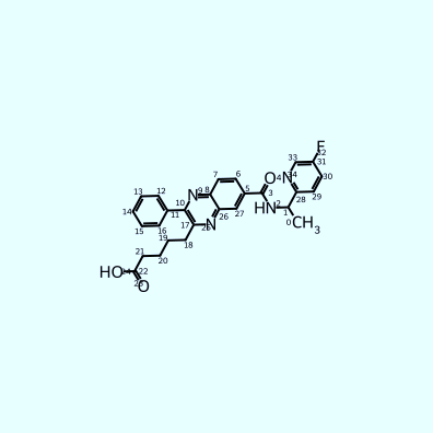 CC(NC(=O)c1ccc2nc(-c3ccccc3)c(CCCCC(=O)O)nc2c1)c1ccc(F)cn1